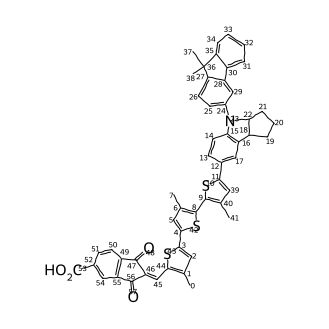 Cc1cc(-c2cc(C)c(-c3sc(-c4ccc5c(c4)C4CCCC4N5c4ccc5c(c4)-c4ccccc4C5(C)C)cc3C)s2)sc1/C=C1\C(=O)c2ccc(C(=O)O)cc2C1=O